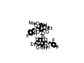 CCN1C[C@H]2C[C@@H](OCOc3c4n5c(c(C(=O)NCc6ccc(F)cc6F)c3=O)[C@H](OC)C[C@H]5CN(CC)C4=O)c3c(C(=O)NCc4ccc(F)cc4F)c(=O)c(O)c(n32)C1=O